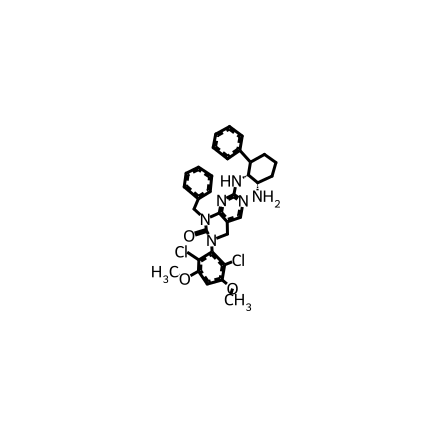 COc1cc(OC)c(Cl)c(N2Cc3cnc(N[C@@H]4C(c5ccccc5)CCC[C@@H]4N)nc3N(Cc3ccccc3)C2=O)c1Cl